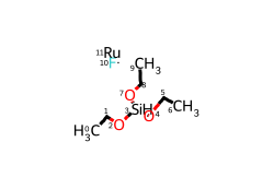 CCO[SiH](OCC)OCC.[F].[Ru]